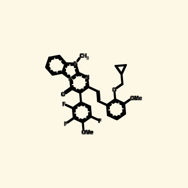 COc1cccc(C=Cc2nc3n(C)c4ccccc4n3c(=O)c2-c2cc(F)c(OC)c(F)c2F)c1OCC1CC1